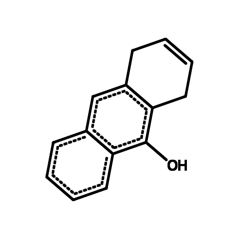 Oc1c2c(cc3ccccc13)CC=CC2